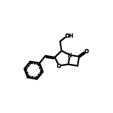 O=C1CC2OC(=Cc3ccccc3)C(CO)N12